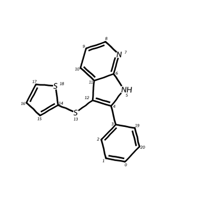 c1ccc(-c2[nH]c3ncccc3c2Sc2cccs2)cc1